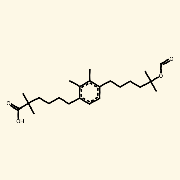 Cc1c(CCCCC(C)(C)OC=O)ccc(CCCCC(C)(C)C(=O)O)c1C